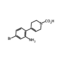 Nc1cc(Br)ccc1C1=CCN(C(=O)O)CC1